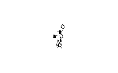 Cc1sc(/N=N/c2ccc(NCc3ccccc3)cc2)[n+](C)c1C.[Br-]